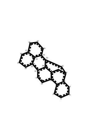 c1ccc2c(c1)c1cc3c2ccc2c4cccc5cccc(c(c1)c32)c54